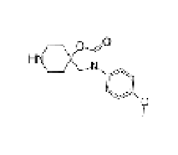 COc1ccc(N2CC3(CCNCC3)OC2=O)cc1